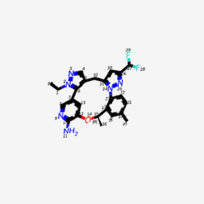 CCn1ncc2c1-c1cnc(N)c(c1)O[C@H](C)c1cc(C)ccc1-n1nc(C(F)F)cc1C2